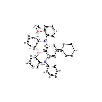 COc1ccccc1N1c2ccccc2B2c3ccccc3N(c3ccccc3)c3cc(C4CCCCC4)cc1c32